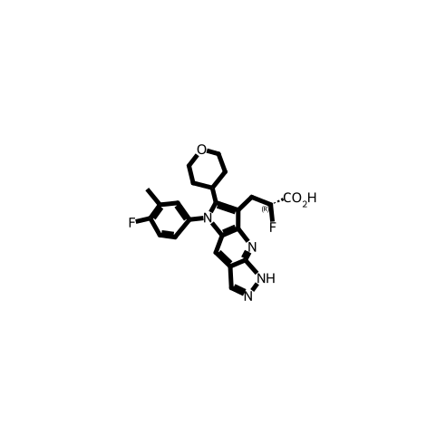 Cc1cc(-n2c(C3CCOCC3)c(C[C@@H](F)C(=O)O)c3nc4[nH]ncc4cc32)ccc1F